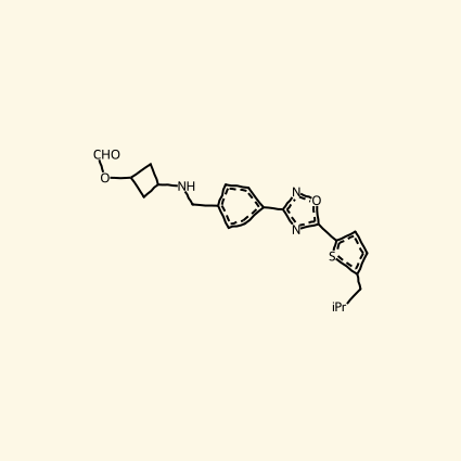 CC(C)Cc1ccc(-c2nc(-c3ccc(CNC4CC(OC=O)C4)cc3)no2)s1